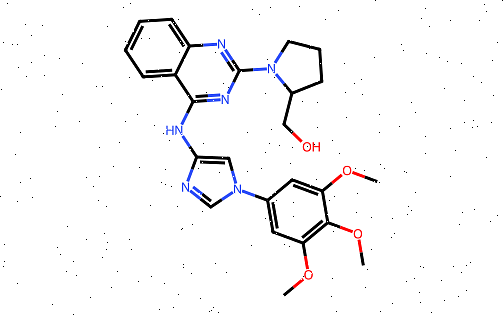 COc1cc(-n2cnc(Nc3nc(N4CCCC4CO)nc4ccccc34)c2)cc(OC)c1OC